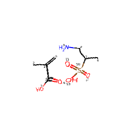 C=C(C)C(=O)O.CC(CN)S(=O)(=O)O